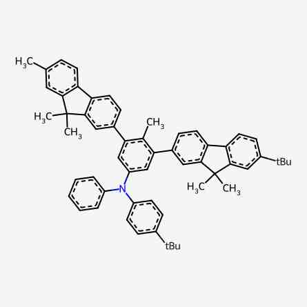 Cc1ccc2c(c1)C(C)(C)c1cc(-c3cc(N(c4ccccc4)c4ccc(C(C)(C)C)cc4)cc(-c4ccc5c(c4)C(C)(C)c4cc(C(C)(C)C)ccc4-5)c3C)ccc1-2